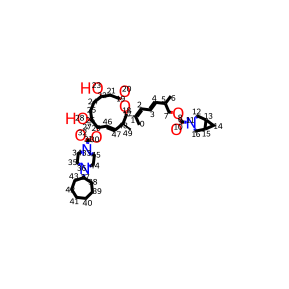 C/C(=C\C=C\C(C)COC(=O)N1CC2CC2C1)[C@H]1OC(=O)C[C@@H](O)CC[C@](C)(O)[C@@H](OC(=O)N2CCN(C3CCCCCC3)CC2)/C=C/[C@@H]1C